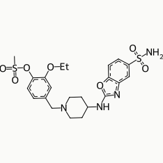 CCOc1cc(CN2CCC(Nc3nc4cc(S(N)(=O)=O)ccc4o3)CC2)ccc1OS(C)(=O)=O